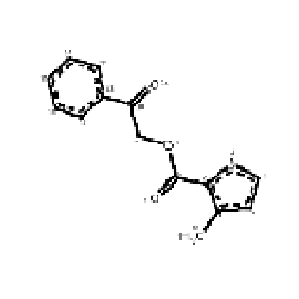 [CH2]c1ccsc1C(=O)OCC(=O)c1ccccc1